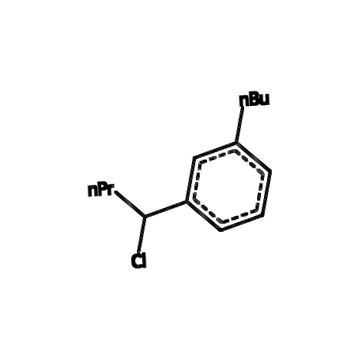 CCCCc1cccc(C(Cl)CCC)c1